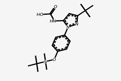 CC(C)(C)c1cc(NC(=O)O)n(-c2ccc(O[Si](C)(C)C(C)(C)C)cc2)n1